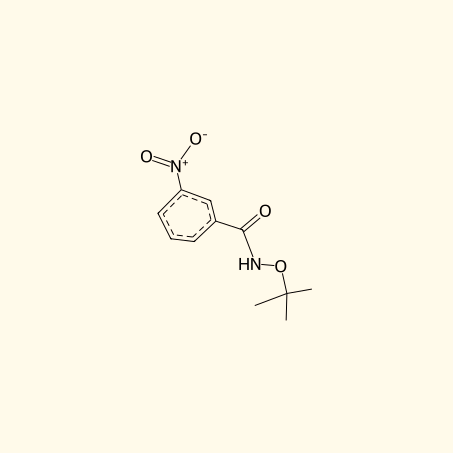 CC(C)(C)ONC(=O)c1cccc([N+](=O)[O-])c1